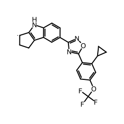 FC(F)(F)Oc1ccc(-c2nc(-c3ccc4[nH]c5c(c4c3)CC[CH]5)no2)c(C2CC2)c1